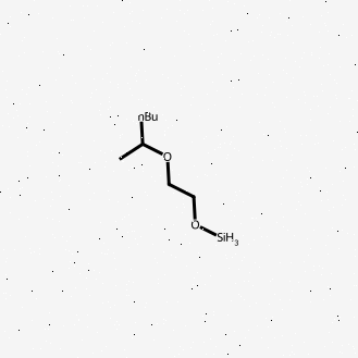 CCCCC(C)OCCO[SiH3]